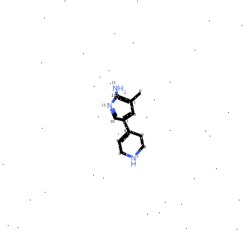 Cc1cc(C2=CCNCC2)cnc1N